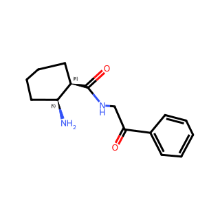 N[C@H]1CCCC[C@H]1C(=O)NCC(=O)c1ccccc1